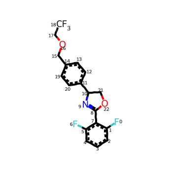 Fc1cccc(F)c1C1=NC(c2ccc(COCC(F)(F)F)cc2)CO1